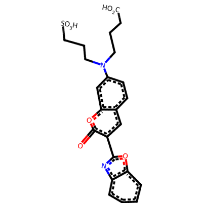 O=C(O)CCCN(CCCS(=O)(=O)O)c1ccc2cc(-c3nc4ccccc4o3)c(=O)oc2c1